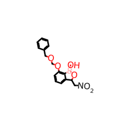 O=[N+]([O-])CC1OB(O)c2c(OCOCc3ccccc3)cccc21